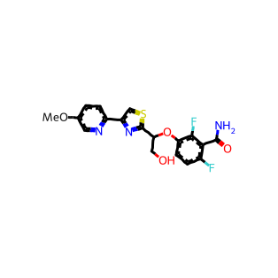 COc1ccc(-c2csc(C(CO)Oc3ccc(F)c(C(N)=O)c3F)n2)nc1